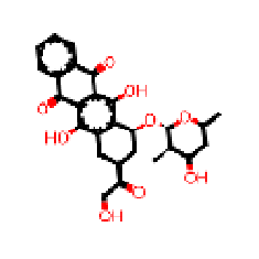 CC1CC(O)[C@@H](C)[C@H](O[C@H]2CC(C(=O)CO)Cc3c(O)c4c(c(O)c32)C(=O)c2ccccc2C4=O)O1